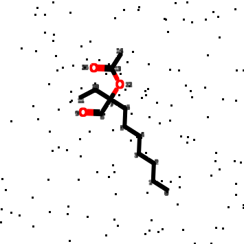 CCCCCCCC([C]=O)(CC)OC(C)=O